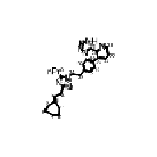 CCCc1nc(CCC2CCCCC2)nn1CCc1ccc(-c2cccnc2-c2nnn[nH]2)cc1